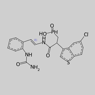 NC(=O)Nc1ccccc1/C=C/NC(=O)C(C[PH](=O)O)c1csc2ccc(Cl)cc12